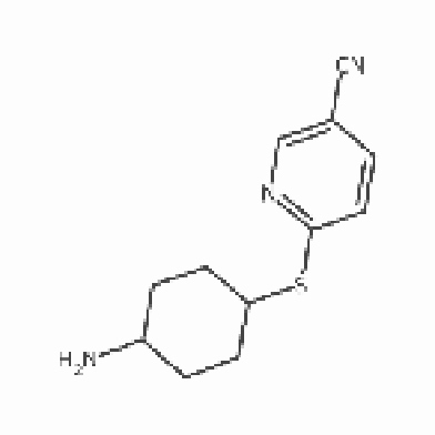 N#Cc1ccc(SC2CCC(N)CC2)nc1